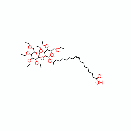 CCOCC1OC(OC2C(OC(C)CCCCCC/C=C\CCCCCCCC(=O)O)OC(COCC)C(OCC)C2OCC)C(OCC)C(OCC)C1OCC